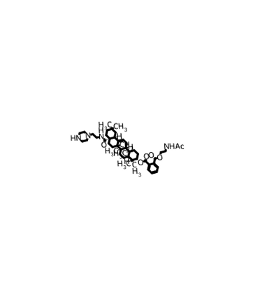 CC(=O)NCCOC(=O)c1ccccc1C(=O)O[C@H]1CC[C@]2(C)[C@H]3CC=C4[C@@H]5CC(C)(C)CC[C@]5(C(=O)NCCN5CCNCC5)CC[C@@]4(C)[C@]3(C)CC[C@H]2C1(C)C